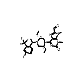 CC[C@H]1CN(C(C)c2ccc(F)cc2C(F)(F)F)[C@H](CC)CN1c1nc(=O)n(C)c2c1nc(C=O)n2C